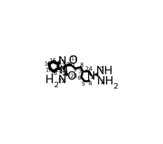 N=C(N)N1CCCC(C[CH]C(=O)c2nc3ccccc3n2C(N)=O)C1